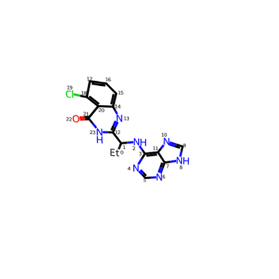 CCC(Nc1ncnc2[nH]cnc12)c1nc2cccc(Cl)c2c(=O)[nH]1